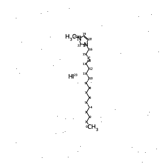 CCCCCCCCCCCCCCSCCN1C=CN(C)C1.I